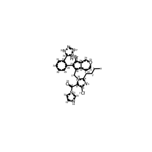 CCCCc1nc(Cl)c(C(=O)n2ccnc2)n1Cc1c2ccocc-2c(Br)c1-c1ccccc1-c1nnn[nH]1